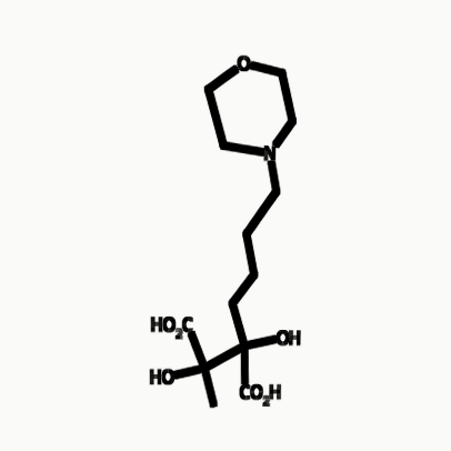 CC(O)(C(=O)O)C(O)(CCCCN1CCOCC1)C(=O)O